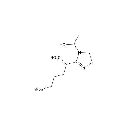 CCCCCCCCCCCCC(C(=O)O)C1=NCCN1C(C)O